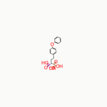 O=P(O)(O)C(CCc1ccc(Oc2ccccc2)cc1)S(=O)(=O)O